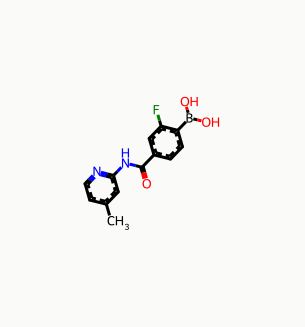 Cc1ccnc(NC(=O)c2ccc(B(O)O)c(F)c2)c1